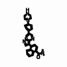 CN(C)C(=O)c1ccc(-c2cnn3cc(-c4ccc(N5CCNCC5)cc4)cnc23)c2ccccc12